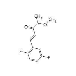 CON(C)C(=O)/C=C/c1cc(F)ccc1F